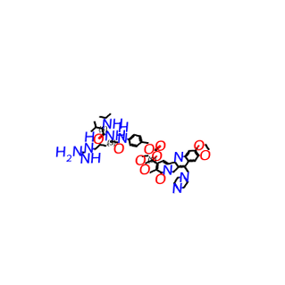 CC[C@@]1(OC(=O)OCc2ccc(NC(=O)[C@H](CCCNC(=N)N)NC(=O)[C@@H](NC(C)C)C(C)C)cc2)C(=O)OCc2c1cc1n(c2=O)Cc2c-1nc1cc3c(cc1c2CN1CCN(C)CC1)OCCO3